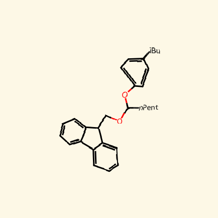 CCCCCC(OCC1c2ccccc2-c2ccccc21)Oc1ccc(C(C)CC)cc1